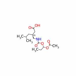 CCC(OC(C)=O)OC(=O)NC[C@H](CC(=O)O)CC(C)C